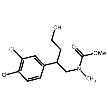 COC(=O)N(C)CC(CCO)c1ccc(Cl)c(Cl)c1